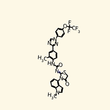 Cc1cc(-c2ncn(-c3ccc(OC(F)(F)C(F)(F)F)cc3)n2)ccc1NC(=O)/N=C1\SCC(=O)N1c1cccc2c1ccn2C